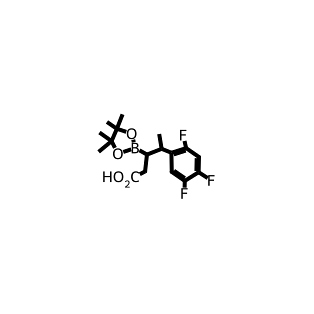 CC(c1cc(F)c(F)cc1F)C(CC(=O)O)B1OC(C)(C)C(C)(C)O1